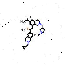 CSC(Cc1cc(C(C)C)cc2c1CN(CC1CCN(C)C1)CC2)c1ccc2c(c1)CCN(CC1CC1)C2